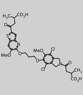 COc1cc2sc(C(=O)CC(C)C(=O)O)cc2nc1OCCCOc1c(Cl)c2c(c(Cl)c1OC)CN(C(=O)CC(C)C(=O)O)C2